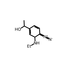 CCNC1C=C(C(C)O)C=CC1=[N+]=[N-]